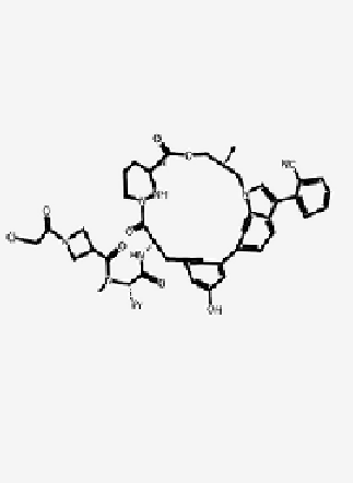 CC(C)[C@@H](C(=O)N[C@H]1Cc2cc(O)cc(c2)-c2ccc3c(-c4ccccc4C#N)cn(c3c2)C[C@H](C)COC(=O)[C@@H]2CCCN(N2)C1=O)N(C)C(=O)C1CN(C(=O)CCl)C1